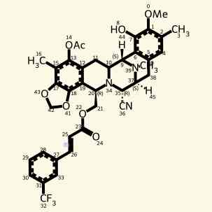 COc1c(C)cc2c(c1O)[C@H]1C3Cc4c(OC(C)=O)c(C)c5c(c4[C@H](COC(=O)/C=C/c4cccc(C(F)(F)F)c4)N3[C@@H](C#N)[C@H](C2)N1C)OCO5